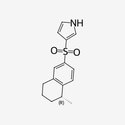 C[C@@H]1CCCc2cc(S(=O)(=O)c3cc[nH]c3)ccc21